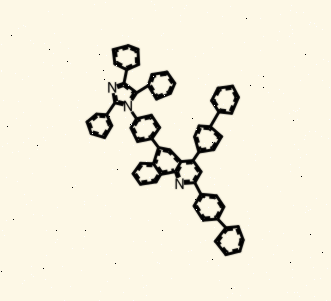 c1ccc(-c2ccc(-c3cc(-c4ccc(-c5ccccc5)cc4)c4cc(-c5ccc(-n6c(-c7ccccc7)nc(-c7ccccc7)c6-c6ccccc6)cc5)c5ccccc5c4n3)cc2)cc1